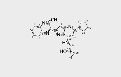 Cc1nc2ccccc2nc1-c1cc2nc(N3CCCC3)cc(NCC3(O)CC3)n2n1